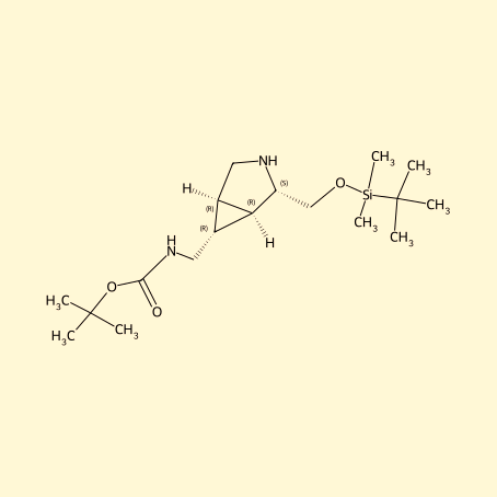 CC(C)(C)OC(=O)NC[C@@H]1[C@H]2CN[C@H](CO[Si](C)(C)C(C)(C)C)[C@@H]12